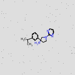 CC(C)c1cccc(C2(N)CCN(c3ncccn3)C2)c1